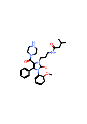 COC1CC=CC=C1n1c(-c2ccccc2)c(C(=O)N2CCNCC2)n(CCCNC(=O)CC(C)C)c1=O